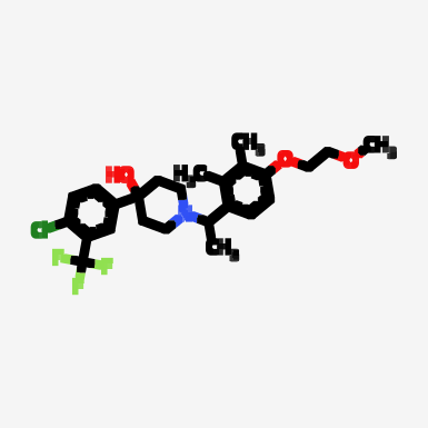 COCCOc1ccc(C(C)N2CCC(O)(c3ccc(Cl)c(C(F)(F)F)c3)CC2)c(C)c1C